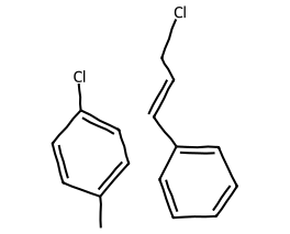 Cc1ccc(Cl)cc1.ClCC=Cc1ccccc1